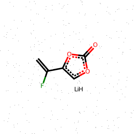 C=C(F)c1coc(=O)o1.[LiH]